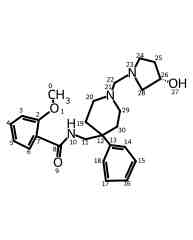 COc1ccccc1C(=O)NCC1(c2ccccc2)CCN(CN2CC[C@H](O)C2)CC1